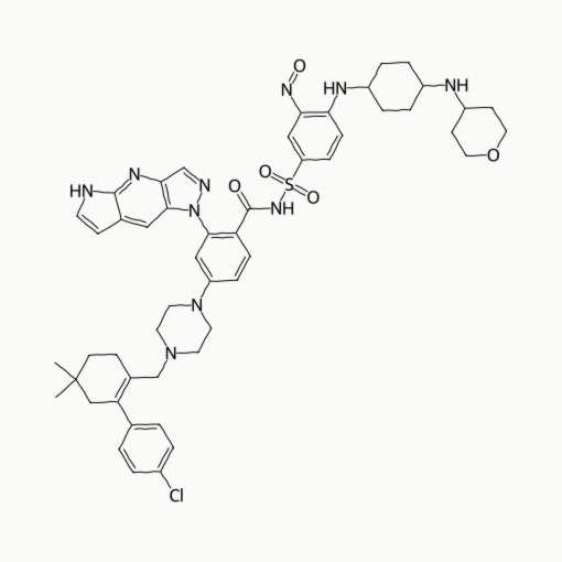 CC1(C)CCC(CN2CCN(c3ccc(C(=O)NS(=O)(=O)c4ccc(NC5CCC(NC6CCOCC6)CC5)c(N=O)c4)c(-n4ncc5nc6[nH]ccc6cc54)c3)CC2)=C(c2ccc(Cl)cc2)C1